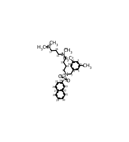 Cc1cc(C)cc(CN(CCCCN(C)CCCN(C)C)S(=O)(=O)c2ccc3ccccc3c2)c1